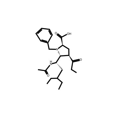 CCC(=O)[C@@H]1C[C@H](C(=O)O)N(Cc2ccccc2)[C@H]1[C@H](CC(CC)CC)NC(C)=O